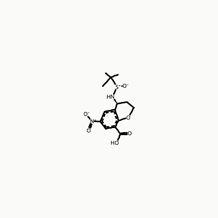 CC(C)(C)[S@+]([O-])N[C@H]1CCOc2c(C(=O)O)cc([N+](=O)[O-])cc21